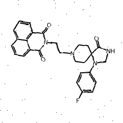 O=C1c2cccc3cccc(c23)C(=O)N1CCN1CCC2(CC1)C(=O)NCN2c1ccc(F)cc1